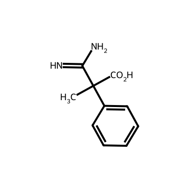 CC(C(=N)N)(C(=O)O)c1ccccc1